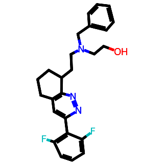 OCCN(CCC1CCCc2cc(-c3c(F)cccc3F)nnc21)Cc1ccccc1